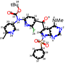 CNc1ncnc2c1c(C(=O)c1ccc(N(C(=O)OC(C)(C)C)c3ccc(C)nc3)nc1F)cn2S(=O)(=O)c1ccccc1